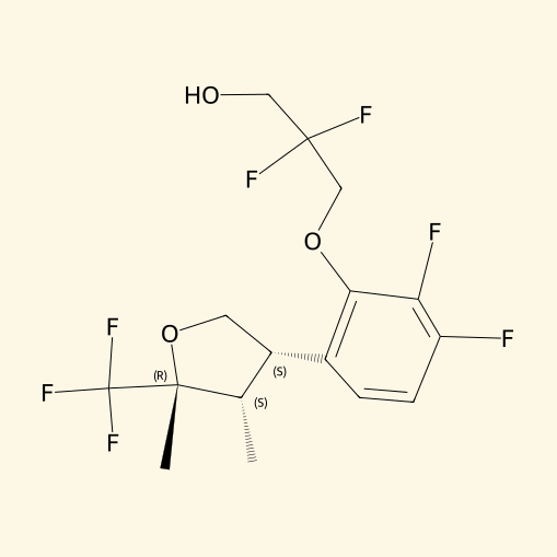 C[C@H]1[C@@H](c2ccc(F)c(F)c2OCC(F)(F)CO)CO[C@@]1(C)C(F)(F)F